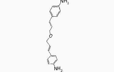 Nc1ccc(C=CCOCC=Cc2ccc(N)cc2)cc1